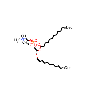 CCCCCCCCCCCCCCCCCC/C=C\OC[C@H](COP(=O)([O-])OCC[N+](C)(C)C)OC(=O)CCCCCCCCCCCCCCCCCCCC